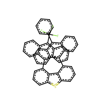 FC(F)(F)c1c2ccccc2c(-c2cccc3sc4cccc(-c5c6ccccc6c(-c6ccccc6)c6ccccc56)c4c23)c2ccccc12